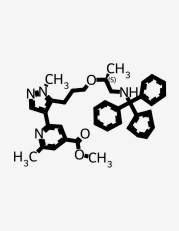 COC(=O)c1cc(C)nc(-c2cnn(C)c2CCCO[C@@H](C)CNC(c2ccccc2)(c2ccccc2)c2ccccc2)c1